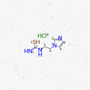 Cl.N=C(S)NCCn1ccnc1